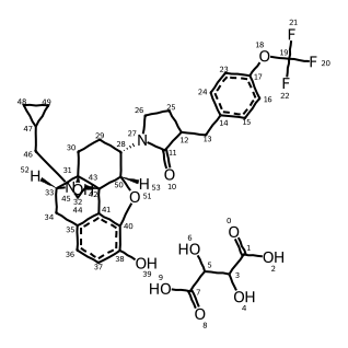 O=C(O)C(O)C(O)C(=O)O.O=C1C(Cc2ccc(OC(F)(F)F)cc2)CCN1[C@H]1CC[C@@]2(O)[C@H]3Cc4ccc(O)c5c4[C@@]2(CCN3CC2CC2)[C@H]1O5